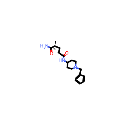 C[C@@H](C[CH]C(=O)NC1CCN(Cc2ccccc2)CC1)C(N)=O